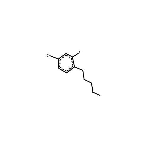 CCC[CH]Cc1ccc(Cl)cc1F